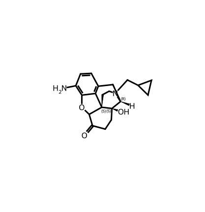 Nc1ccc2c3c1OC1C(=O)CC[C@@]4(O)[C@@H](C2)N(CC2CC2)CC[C@]314